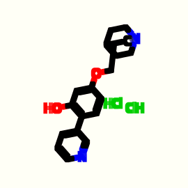 Cl.Cl.Oc1cc(OCC2CN3CCC2CC3)ccc1-c1cccnc1